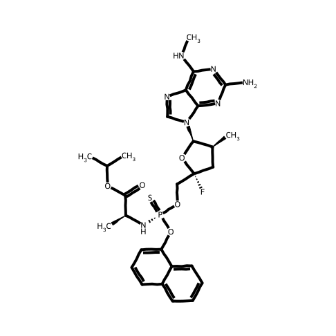 CNc1nc(N)nc2c1ncn2[C@@H]1O[C@](F)(CO[P@@](=S)(N[C@@H](C)C(=O)OC(C)C)Oc2cccc3ccccc23)C[C@@H]1C